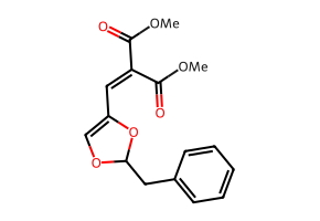 COC(=O)C(=CC1=COC(Cc2ccccc2)O1)C(=O)OC